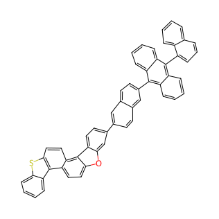 c1ccc2c(-c3c4ccccc4c(-c4ccc5cc(-c6ccc7c(c6)oc6ccc8c(ccc9sc%10ccccc%10c98)c67)ccc5c4)c4ccccc34)cccc2c1